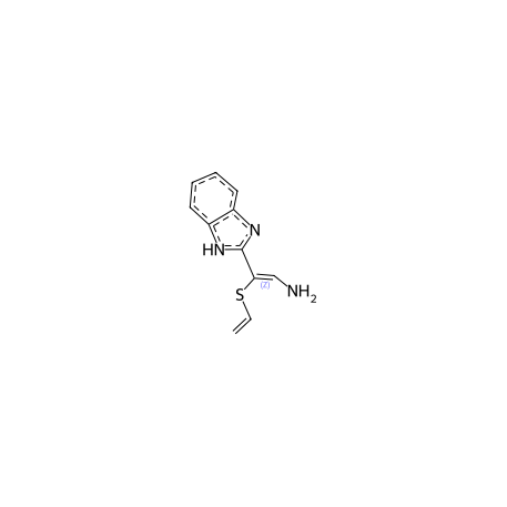 C=CS/C(=C\N)c1nc2ccccc2[nH]1